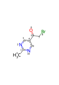 Cc1ncc(C(=O)CBr)cn1